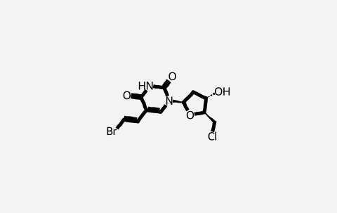 O=c1[nH]c(=O)n([C@H]2C[C@H](O)[C@@H](CCl)O2)cc1C=CBr